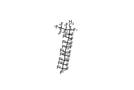 CC(F)(C(F)(F)C(F)(F)F)C(F)(F)C(F)(F)C(F)(F)C(F)(F)C(F)(F)C(F)(F)C(F)(F)C(F)(F)C(F)(F)F